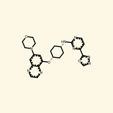 c1cc(-c2nnco2)nc(N[C@H]2CC[C@@H](Oc3cc(N4CCOCC4)cc4nccnc34)CC2)n1